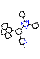 Cc1ccc(-c2cc(-c3nc(-c4ccccc4)nc(-c4ccccc4)n3)cc(-c3cc4cccc5ccc6cccc3c6c54)c2)cn1